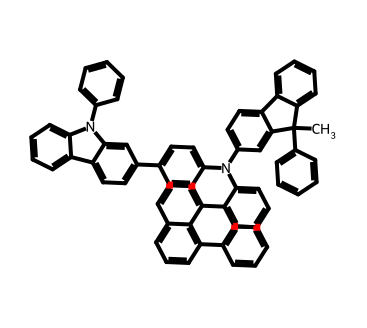 CC1(c2ccccc2)c2ccccc2-c2ccc(N(c3ccc(-c4ccc5c6ccccc6n(-c6ccccc6)c5c4)cc3)c3ccccc3-c3cccc4cccc(-c5ccccc5)c34)cc21